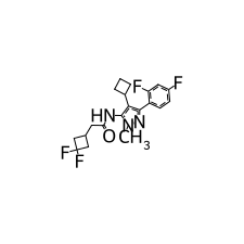 Cn1nc(-c2ccc(F)cc2F)c(C2CCC2)c1NC(=O)CC1CC(F)(F)C1